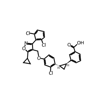 O=C(O)c1cccc([C@H]2C[C@@H]2c2ccc(OCc3c(-c4c(Cl)cccc4Cl)noc3C3CC3)cc2Cl)c1